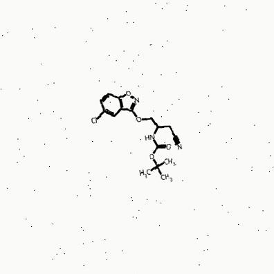 CC(C)(C)OC(=O)NC(CC#N)COc1noc2ccc(Cl)cc12